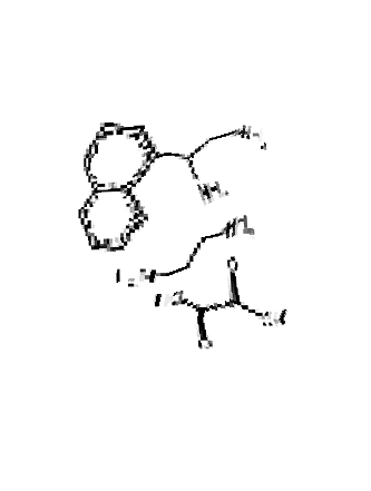 NCC(N)c1cccc2ccccc12.NCCN.O=C(O)C(=O)O